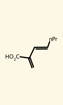 C=C(/C=C/CCC)C(=O)O